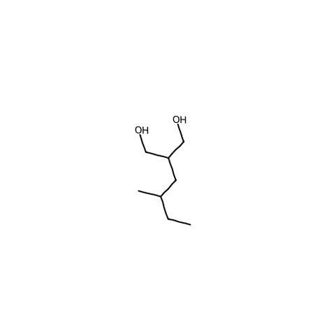 CCC(C)CC(CO)CO